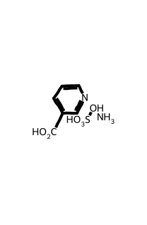 N.O=C(O)c1cccnc1.O=S(=O)(O)O